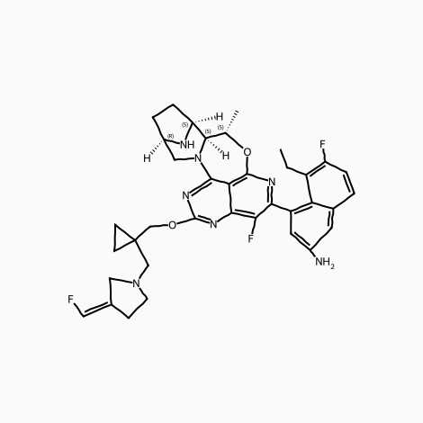 CCc1c(F)ccc2cc(N)cc(-c3nc4c5c(nc(OCC6(CN7CCC(=CF)C7)CC6)nc5c3F)N3C[C@H]5CC[C@H](N5)[C@H]3[C@H](C)O4)c12